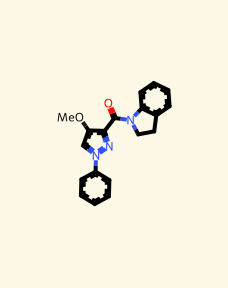 COc1cn(-c2ccccc2)nc1C(=O)N1CCc2ccccc21